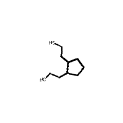 O[C]CC1CCCC1CCS